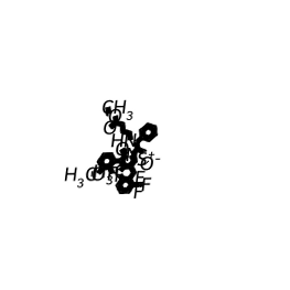 CCOC(=O)CCCNC(c1ccccc1)C1C[S+]([O-])c2c(Cc3c(F)cccc3C(F)(F)F)c(C)c(-c3cccc(OC)c3F)c(=O)n21